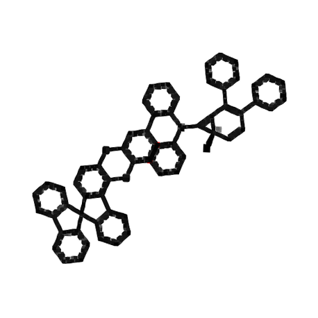 C1=C[C@H]2C(=C2N(c2ccccc2)c2ccccc2-c2ccc3c(c2)Oc2ccc4c(c2O3)-c2ccccc2C42c3ccccc3-c3ccccc32)C(c2ccccc2)=C1c1ccccc1